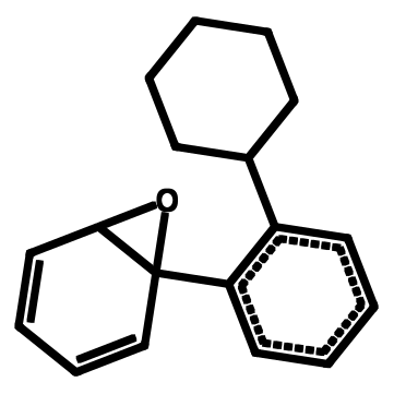 C1=CC2OC2(c2ccccc2C2CCCCC2)C=C1